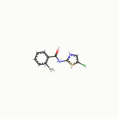 O=C(Nc1ncc(Br)s1)c1ccccc1[N+](=O)[O-]